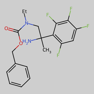 CCN(CC(C)(N)c1c(F)cc(F)c(F)c1F)C(=O)OCc1ccccc1